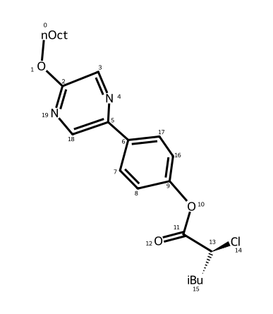 CCCCCCCCOc1cnc(-c2ccc(OC(=O)[C@@H](Cl)[C@@H](C)CC)cc2)cn1